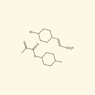 C=C(C)C(=O)OC1CCC(C)CC1.CCC1CCC(C=CC(=O)O)CC1